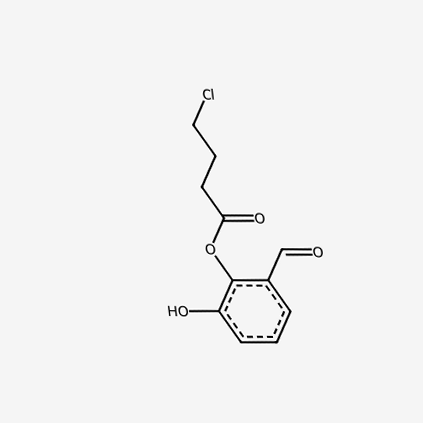 O=Cc1cccc(O)c1OC(=O)CCCCl